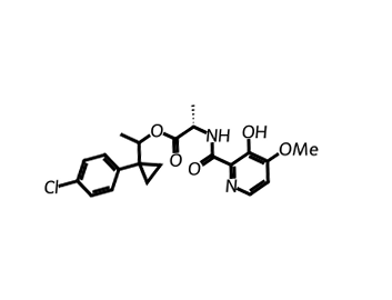 COc1ccnc(C(=O)N[C@@H](C)C(=O)OC(C)C2(c3ccc(Cl)cc3)CC2)c1O